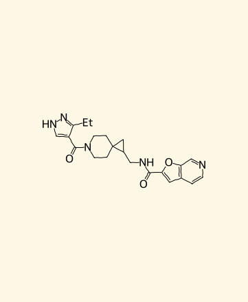 CCc1n[nH]cc1C(=O)N1CCC2(CC1)CC2CNC(=O)c1cc2ccncc2o1